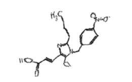 CCCCc1nc(C=CC(=O)O)c(Cl)n1Cc1ccc([N+](=O)[O-])cc1